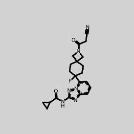 N#CCC(=O)N1CC2(CCC(F)(c3cccc4nc(NC(=O)C5CC5)nn34)CC2)C1